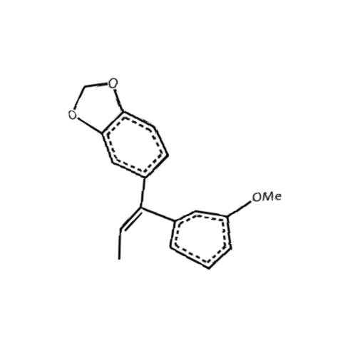 CC=C(c1cccc(OC)c1)c1ccc2c(c1)OCO2